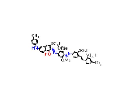 COc1cc(N=Nc2c(S(=O)(=O)O)cc3cc(Nc4ccc(C)cc4)ccc3c2O)c(OC)cc1N=Nc1ccc(C=Cc2ccc([N+](=O)[O-])cc2S(=O)(=O)O)c(S(=O)(=O)O)c1